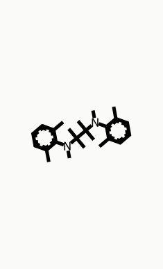 Cc1cccc(C)c1N(C)C(C)(C)C(C)(C)N(C)c1c(C)cccc1C